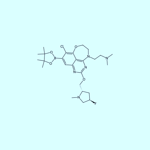 CN(C)CCN1CCOc2c(Cl)c(B3OC(C)(C)C(C)(C)O3)cc3nc(OC[C@@H]4C[C@@H](F)CN4C)nc1c23